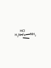 CC.Cl.[NH2][Fe][NH2]